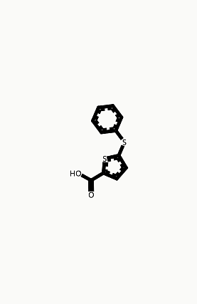 O=C(O)c1ccc(Sc2ccccc2)s1